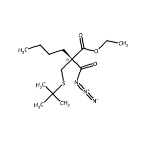 CCCC[C@](CSC(C)(C)C)(C(=O)N=[N+]=[N-])C(=O)OCC